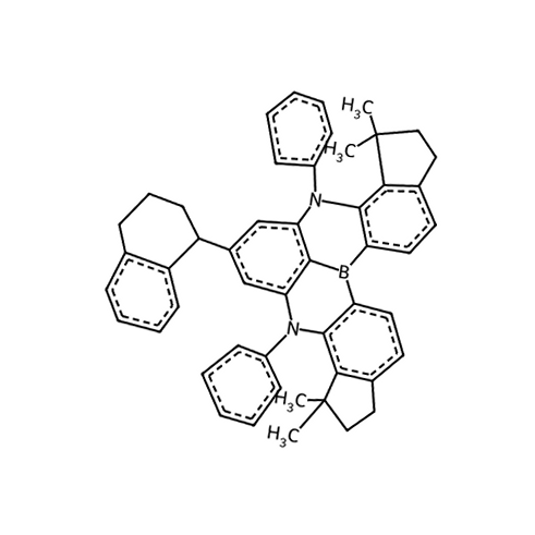 CC1(C)CCc2ccc3c(c21)N(c1ccccc1)c1cc(C2CCCc4ccccc42)cc2c1B3c1ccc3c(c1N2c1ccccc1)C(C)(C)CC3